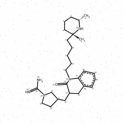 C[C@H]1CCC[C@@](C)(CCCCCN2C(=O)C(CC3CCN(C(=N)N)C3)Cc3ccccc32)N1